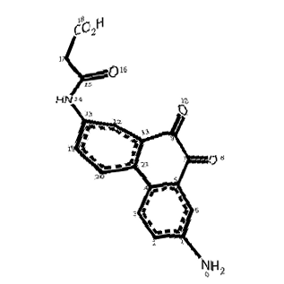 Nc1ccc2c(c1)C(=O)C(=O)c1cc(NC(=O)CC(=O)O)ccc1-2